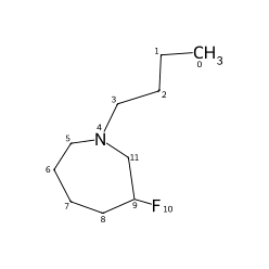 CCCCN1CCCCC(F)C1